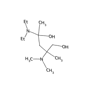 CCN(CC)C(C)(O)CC(C)(CO)N(C)C